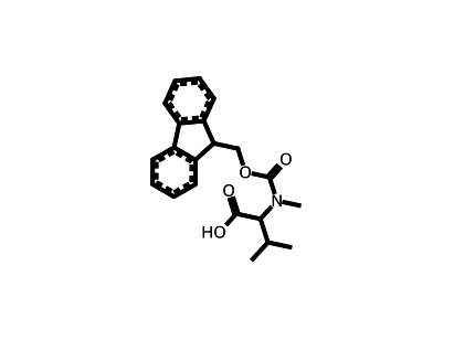 CC(C)C(C(=O)O)N(C)C(=O)OCC1c2ccccc2-c2ccccc21